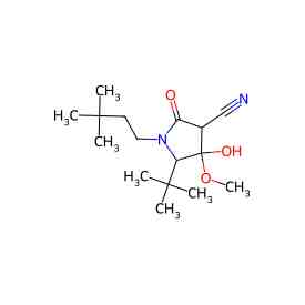 COC1(O)C(C#N)C(=O)N(CCC(C)(C)C)C1C(C)(C)C